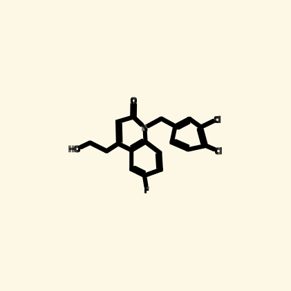 O=c1cc(CCO)c2cc(F)ccc2n1Cc1ccc(Cl)c(Cl)c1